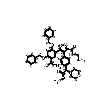 CCNC(=O)c1noc(-c2cc(C(C)C)c(OCc3ccccc3)cc2OCc2ccccc2)c1-c1ccc(C(C(=O)OC)N2CCOCC2)cc1